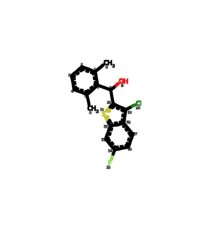 Cc1cccc(C)c1C(O)c1sc2cc(F)ccc2c1Cl